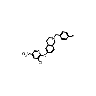 O=[N+]([O-])c1cnc(Oc2ccc3c(c2)CCN(Cc2ccc(F)cc2)C3)c(Cl)c1